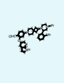 CC(C)c1ccccc1C1CN(C(C)C)CCN1C1CC2(CCN(c3ccc(C=O)c(Oc4cnc5[nH]ccc5c4)c3)CC2)C1